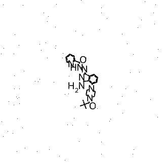 CC(C)(C)C(=O)N1CCN(c2cccc3c2C(N)=N/C3=N\NC(=O)c2ccccn2)CC1